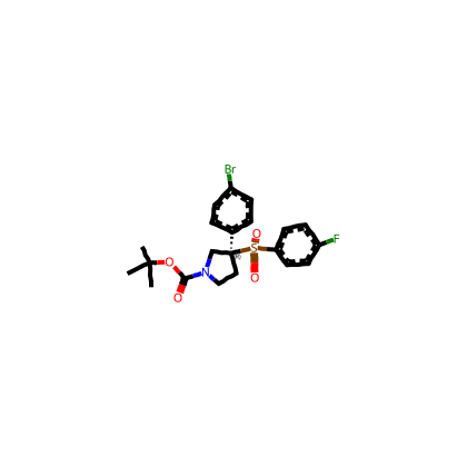 CC(C)(C)OC(=O)N1CC[C@](c2ccc(Br)cc2)(S(=O)(=O)c2ccc(F)cc2)C1